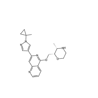 C[C@@H]1NCCO[C@@H]1COc1nc(-c2cnn(C3(C)CC3)c2)cc2ncccc12